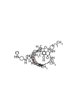 CO[C@H]1/C=C/O[C@@]2(C)Oc3c(C)c(O)c4c(c3C2=O)C2=NC3(CCN(CC(C)I)CC3)NC2=C(NC(=O)/C(C)=C\C=C\[C@H](C)[C@H](O)[C@@H](C)[C@@H](O)[C@@H](C)[C@H](OC(=O)CC(=O)NC2CCC(NC3C=CC=C3)CC2)[C@@H]1C)C4=O